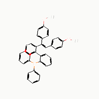 COc1ccc(/C=C(\c2ccc(OC)cc2)c2cccc(C)c2-c2ccccc2P(c2ccccc2)c2ccccc2)cc1